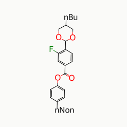 CCCCCCCCCc1ccc(OC(=O)c2ccc(C3OCC(CCCC)CO3)c(F)c2)cc1